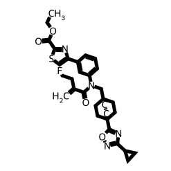 C=C(CCF)C(=O)N(CC12CCC(c3nc(C4CC4)no3)(CC1)CC2)c1cccc(-c2csc(C(=O)OCC)n2)c1